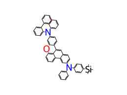 C[Si](C)(C)c1ccc(N(c2ccccc2)c2ccc3cc4c5c(cccc5c3c2)Oc2cc(N(c3ccccc3)c3ccccc3-c3ccccc3)ccc2-4)cc1